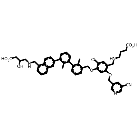 Cc1c(COc2cc(OCc3cncc(C#N)c3)c(CNCCCC(=O)O)cc2Cl)cccc1-c1cccc(-c2ccc3c(CNCC(O)CC(=O)O)cccc3c2)c1C